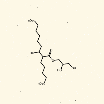 CCCCCCCCCCCCCCCC(O)C(CCCCCCCCCCCCCC)C(=O)OC[C@H](O)CO